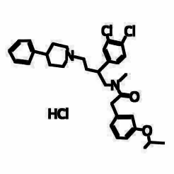 CC(C)Oc1cccc(CC(=O)N(C)CC(CCN2CCC(c3ccccc3)CC2)c2ccc(Cl)c(Cl)c2)c1.Cl